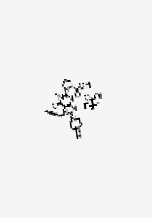 CC#CCn1c(N2CCNCC2)nc2nc(N3CCC[C@@H]3C(=O)O)n(C)c(=O)c21.O=C(O)C(F)(F)F